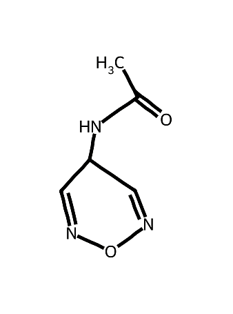 CC(=O)NC1C=NON=C1